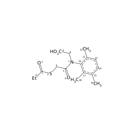 CCC(=O)SCC(=O)N(CC(=O)O)c1c(C)ccc(C)c1C